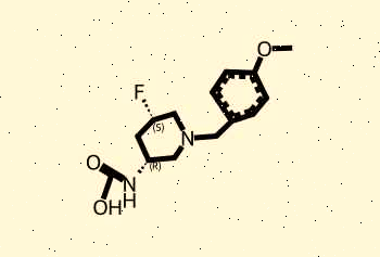 COc1ccc(CN2C[C@@H](F)C[C@@H](NC(=O)O)C2)cc1